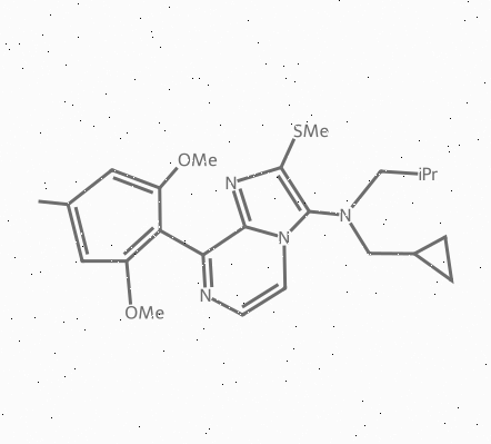 COc1cc(C)cc(OC)c1-c1nccn2c(N(CC(C)C)CC3CC3)c(SC)nc12